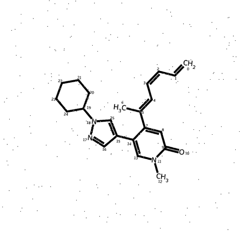 C=C/C=C\C=C(/C)c1cc(=O)n(C)cc1-c1cnn(C2CCCCC2)c1